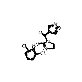 O=C(c1cnoc1)N1CCN=C1Nc1c(Cl)cccc1Cl